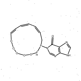 O=c1c2nc[nH]c2ncn1P1CC=CC=CC=COOOOOP1